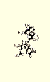 C=C/C=C1/C(N)=NC=NN1[C@]1(C#N)O[C@H](COP(=O)(N[C@@H](C)COC(=O)C(C)(C)C)N[C@@H](C)COC(=O)C(C)(C)C)[C@@H](O)[C@@]1(C)O